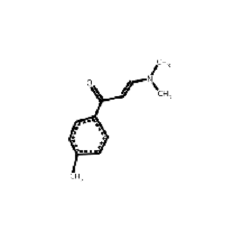 Cc1ccc(C(=O)/C=C/N(C)C)cc1